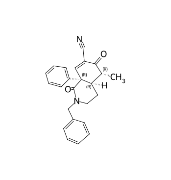 C[C@H]1C(=O)C(C#N)=C[C@]2(c3ccccc3)C(=O)N(Cc3ccccc3)CC[C@H]12